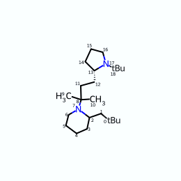 CC(C)(C)CC1CCCCN1C(C)(C)CC[C@@H]1CCCN1C(C)(C)C